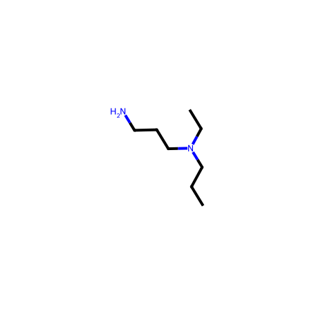 CCCN(CC)CCCN